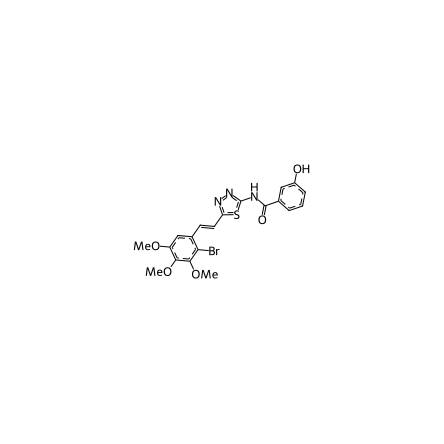 COc1cc(C=Cc2nnc(NC(=O)c3cccc(O)c3)s2)c(Br)c(OC)c1OC